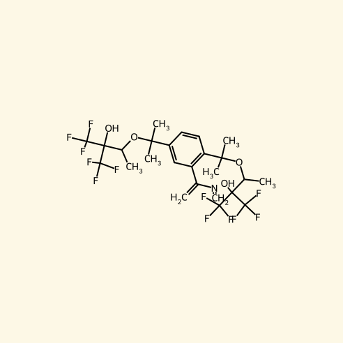 C=NC(=C)c1cc(C(C)(C)OC(C)C(O)(C(F)(F)F)C(F)(F)F)ccc1C(C)(C)OC(C)C(O)(C(F)(F)F)C(F)(F)F